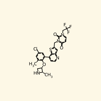 Cc1cc(Cl)cc(-c2ccnc3cc(Cn4c(=O)ccn(CC(F)(F)F)c4=O)sc23)c1O[C@@H]1CN[C@@H]1C